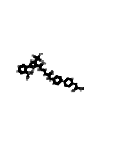 O=C(O)C[C@H]1CC[C@H](c2ccc(NC(=O)CCNC(=O)c3nc(-c4ccccc4[N+](=O)[O-])oc3C(F)(F)F)cc2)CC1